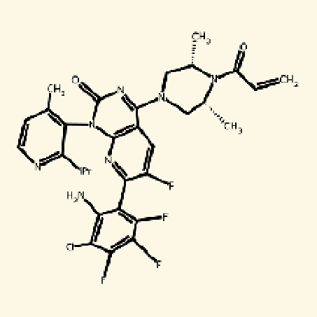 C=CC(=O)N1[C@H](C)CN(c2nc(=O)n(-c3c(C)ccnc3C(C)C)c3nc(-c4c(N)c(Cl)c(F)c(F)c4F)c(F)cc23)C[C@@H]1C